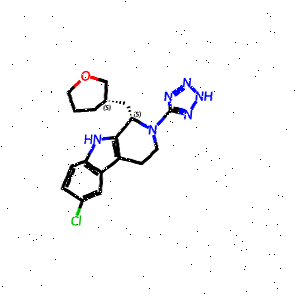 Clc1ccc2[nH]c3c(c2c1)CCN(c1nn[nH]n1)[C@H]3C[C@@H]1CCCOC1